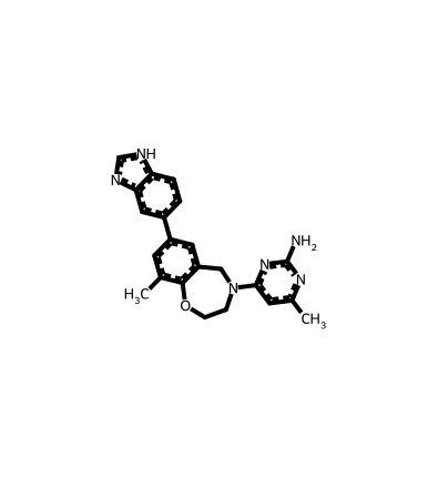 Cc1cc(N2CCOc3c(C)cc(-c4ccc5[nH]cnc5c4)cc3C2)nc(N)n1